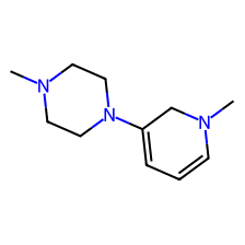 CN1C=CC=C(N2CCN(C)CC2)C1